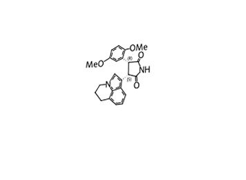 COc1ccc(OC)c([C@@H]2C(=O)NC(=O)[C@@H]2c2cn3c4c(cccc24)CCC3)c1